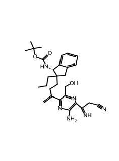 C=C(CCC1(CCC)Cc2ccccc2[C@H]1NC(=O)OC(C)(C)C)c1nc(N)c(C(=N)CC#N)nc1CO